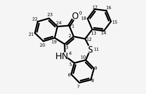 O=C1C2=C(Nc3ccccc3SC2c2ccccc2)c2ccccc21